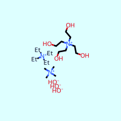 CC[N+](CC)(CC)CC.C[N+](C)(C)C.OCC[N+](CCO)(CCO)CCO.[OH-].[OH-].[OH-]